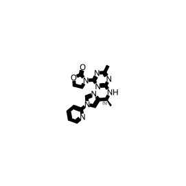 Cc1nc(N[C@@H](C)c2cn(-c3ccccn3)cn2)nc(N2CCOC2=O)n1